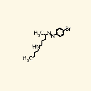 CCCCNCCCC(C)N=Nc1ccc(Br)cc1